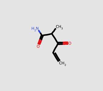 C=CC(=O)C(C)C(N)=O